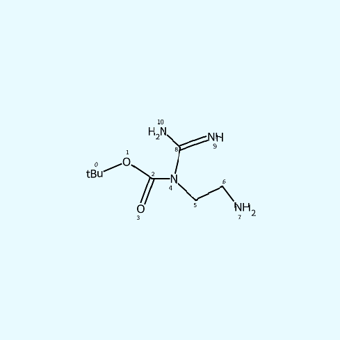 CC(C)(C)OC(=O)N(CCN)C(=N)N